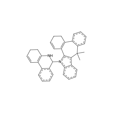 CC1(C)c2ccccc2C2=C(C=CCC2)c2c1c1ccccc1n2C1NC2=C(C=CCC2)c2ccccc21